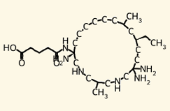 CC[C@H]1CCC(N)(N)CNCC(C)CNC[C@](N)(NC(=O)CCCC(=O)O)CCCCCCC(C)C1